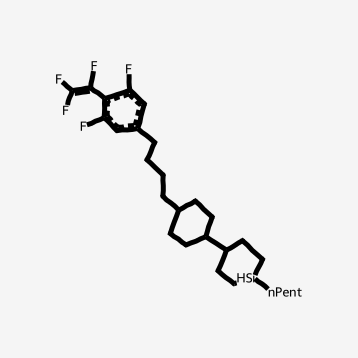 CCCCC[SiH]1CCC(C2CCC(CCCCc3cc(F)c(C(F)=C(F)F)c(F)c3)CC2)CC1